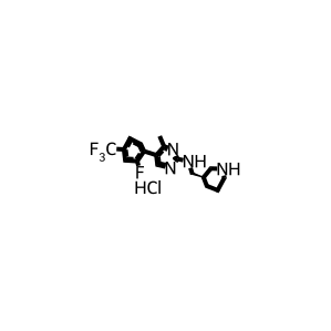 Cc1nc(NC[C@@H]2CCCNC2)ncc1-c1ccc(C(F)(F)F)cc1F.Cl